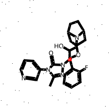 Cc1nn(CC(O)CN2C3CCC2CC(OCc2ccccc2F)C3)c(=O)n1-c1cccnc1